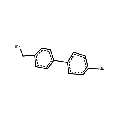 CCC(C)c1ccc(-c2ccc(CC(C)C)cc2)cc1